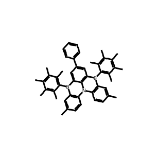 Cc1ccc2c(c1)B(c1c(C)c(C)c(C)c(C)c1C)c1cc(-c3ccccc3)cc3c1N2c1ccc(C)cc1B3c1c(C)c(C)c(C)c(C)c1C